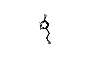 BrCCc1cc(Br)sn1